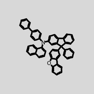 c1ccc(-c2ccc(N(c3ccc4c(c3)C(c3ccccc3)(c3ccc5oc6ccccc6c5c3)c3ccccc3-4)c3cccc4ccccc34)cc2)cc1